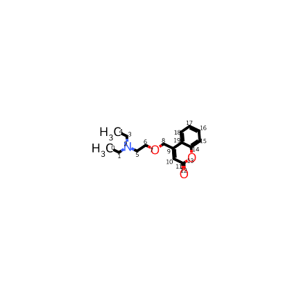 CCN(CC)CCOCc1cc(=O)oc2ccccc12